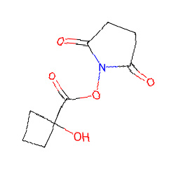 O=C1CCC(=O)N1OC(=O)C1(O)CCC1